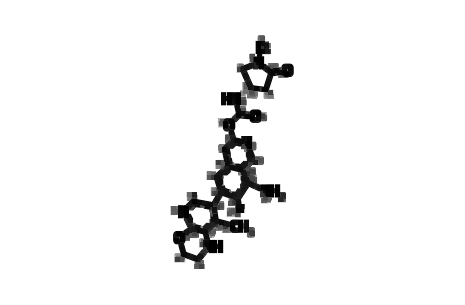 CCN1C[C@@H](NC(=O)Oc2cc3cc(-c4cnc5c(c4C)NCCO5)c(F)c(N)c3cn2)CC1=O